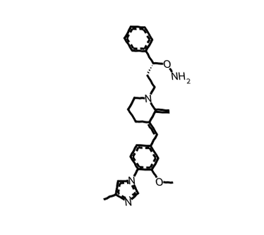 C=C1/C(=C/c2ccc(-n3cnc(C)c3)c(OC)c2)CCCN1CC[C@@H](ON)c1ccccc1